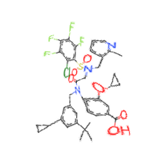 Cc1ncccc1CN(CC(=O)N(Cc1cc(C2CC2)cc(C(C)(C)C)c1)c1ccc(C(=O)O)cc1OC1CC1)S(=O)(=O)c1c(F)c(F)c(F)c(F)c1Cl